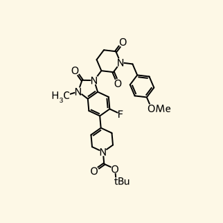 COc1ccc(CN2C(=O)CCC(n3c(=O)n(C)c4cc(C5=CCN(C(=O)OC(C)(C)C)CC5)c(F)cc43)C2=O)cc1